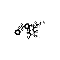 CCC(=O)Nc1cc(S(=O)(=O)Oc2ccccc2)ccc1NC(=NC(=O)OC)NC(=O)OC